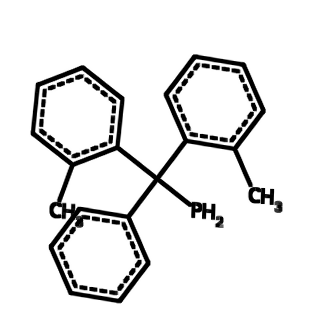 Cc1ccccc1C(P)(c1ccccc1)c1ccccc1C